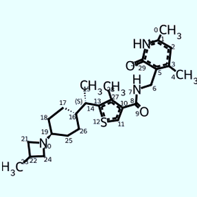 Cc1cc(C)c(CNC(=O)c2csc([C@@H](C)[C@H]3CC[C@H](N4CC(C)C4)CC3)c2C)c(=O)[nH]1